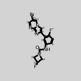 O=C(Nc1ccc(F)c(-c2cn3cc(Br)cnc3n2)c1)N1CC(F)C1